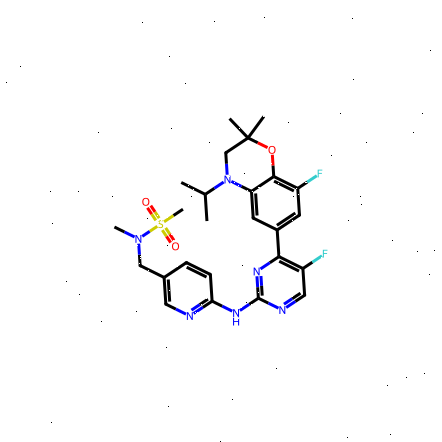 CC(C)N1CC(C)(C)Oc2c(F)cc(-c3nc(Nc4ccc(CN(C)S(C)(=O)=O)cn4)ncc3F)cc21